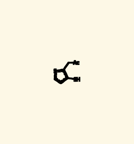 CC(=O)Cc1sccc1S